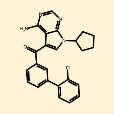 Nc1ncnc2c1c(C(=O)c1cccc(-c3ccccc3Cl)c1)cn2C1CCCC1